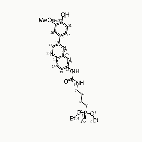 CCOP(=O)(CCCCNC(=O)Nc1ccc2ncc(-c3ccc(O)c(OC)c3)nc2n1)OCC